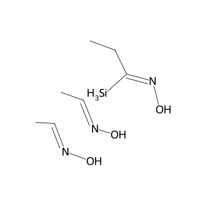 CC=NO.CC=NO.CCC([SiH3])=NO